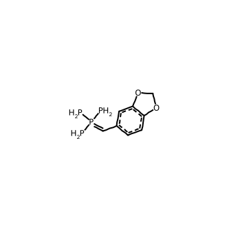 PP(P)(P)=Cc1ccc2c(c1)OCO2